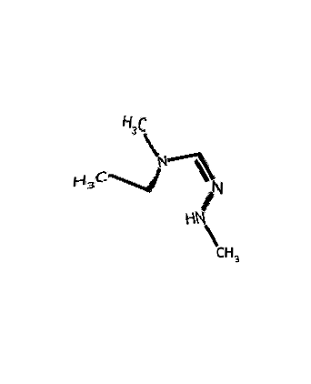 CCN(C)/C=N\NC